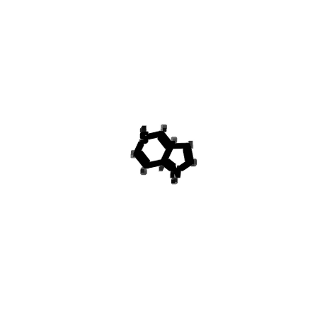 c1cc2csccc-2n1